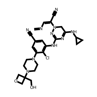 C=N/C=C(/C#N)N1CC(NC2CC2)=NC(Nc2cc(C#N)cc(N3CCN(C4(CO)COC4)CC3)c2Cl)=N1